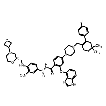 CC1(C)CCC(CN2CCN(c3ccc(C(=O)N[S+]([O-])c4ccc(NC[C@H]5CN(C6COC6)CCO5)c([N+](=O)[O-])c4)c(Oc4cccc5[nH]cnc45)c3)CC2)=C(c2ccc(Cl)cc2)C1